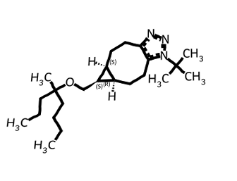 CCCCC(C)(CCC)OC[C@@H]1[C@@H]2CCc3c(nnn3C(C)(C)C)CC[C@@H]21